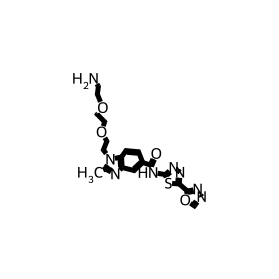 Cc1nc2cc(C(=O)Nc3nnc(-c4nnco4)s3)ccc2n1CCOCCOCCN